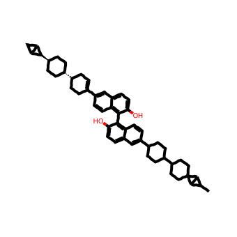 CC1C2C1C21CCC(C2CCC(c3ccc4c(-c5c(O)ccc6cc(C7=CCC([C@H]8CC[C@H](C9C%10CC%109)CC8)CC7)ccc56)c(O)ccc4c3)CC2)CC1